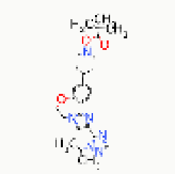 CC(C)n1ncnc1-c1cn2c(n1)-c1ccc(C3CCN(OC(=O)C(C)(C)C)CC3)cc1OCC2